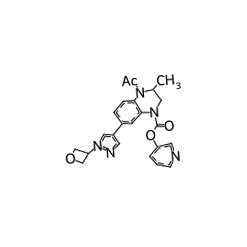 CC(=O)N1c2ccc(-c3cnn(C4COC4)c3)cc2N(C(=O)Oc2cccnc2)CC1C